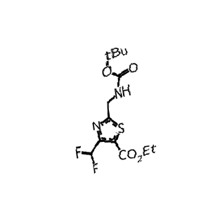 CCOC(=O)c1sc(CNC(=O)OC(C)(C)C)nc1C(F)F